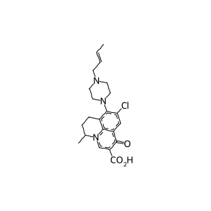 CC=CCN1CCN(c2c(Cl)cc3c(=O)c(C(=O)O)cn4c3c2CCC4C)CC1